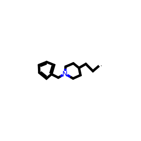 [CH2]CCC1CCN(Cc2ccccc2)CC1